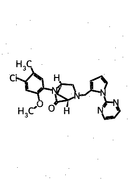 COc1cc(Cl)c(C)cc1N1C(=O)[C@@H]2C[C@H]1CN2Cc1cccn1-c1ncccn1